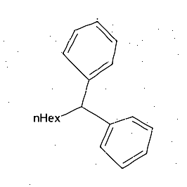 CCCCCCC(c1cc[c]cc1)c1ccccc1